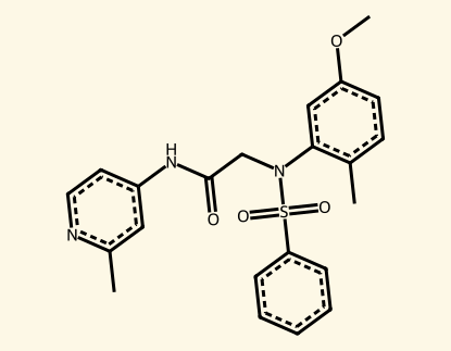 COc1ccc(C)c(N(CC(=O)Nc2ccnc(C)c2)S(=O)(=O)c2ccccc2)c1